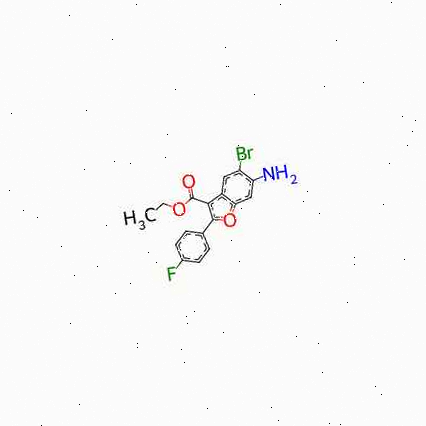 CCOC(=O)c1c(-c2ccc(F)cc2)oc2cc(N)c(Br)cc12